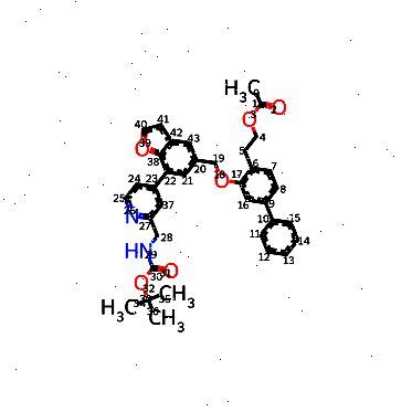 CC(=O)OCCc1ccc(-c2ccccc2)cc1OCc1cc(-c2ccnc(CNC(=O)OC(C)(C)C)c2)c2occc2c1